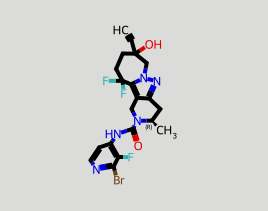 C#CC1(O)CCC(F)(F)c2c3c(nn2C1)C[C@@H](C)N(C(=O)Nc1ccnc(Br)c1F)C3